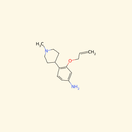 C=CCOc1cc(N)ccc1C1CCN(C)CC1